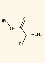 [CH2]C(CC)C(=O)OC(C)C